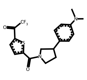 CN(C)c1ccc(C2CCN(C(=O)c3ccc(C(=O)C(F)(F)F)s3)C2)cc1